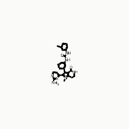 Cc1cccc(NC(=O)Nc2cccc(-c3c4c(n(C)c3-c3ccnc(N)n3)CCNC4=O)c2)c1